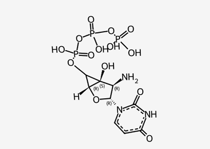 N[C@H]1[C@H](n2ccc(=O)[nH]c2=O)O[C@@H]2C(OP(=O)(O)OP(=O)(O)OP(=O)(O)O)[C@@]21O